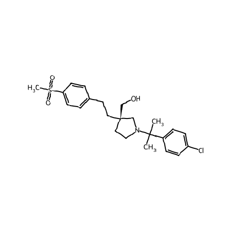 CC(C)(c1ccc(Cl)cc1)N1CC[C@](CO)(CCc2ccc(S(C)(=O)=O)cc2)C1